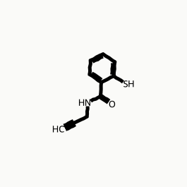 C#CCNC(=O)c1ccccc1S